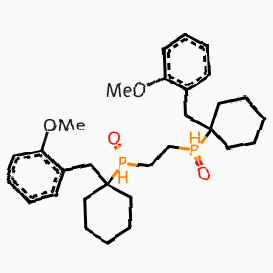 COc1ccccc1CC1([PH](=O)CC[PH](=O)C2(Cc3ccccc3OC)CCCCC2)CCCCC1